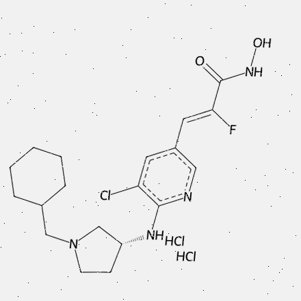 Cl.Cl.O=C(NO)C(F)=Cc1cnc(N[C@@H]2CCN(CC3CCCCC3)C2)c(Cl)c1